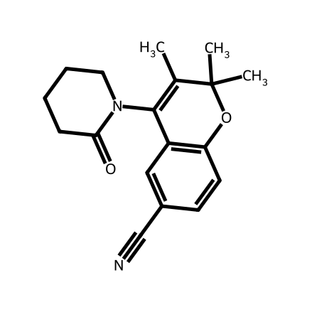 CC1=C(N2CCCCC2=O)c2cc(C#N)ccc2OC1(C)C